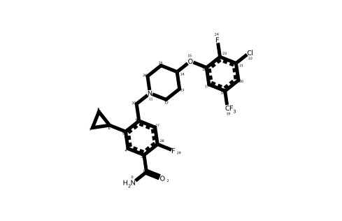 NC(=O)c1cc(C2CC2)c(CN2CCC(Oc3cc(C(F)(F)F)cc(Cl)c3F)CC2)cc1F